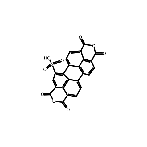 O=C1OC(=O)c2ccc3c4c(S(=O)(=O)O)cc5c6c(ccc(c7ccc1c2c73)c64)C(=O)OC5=O